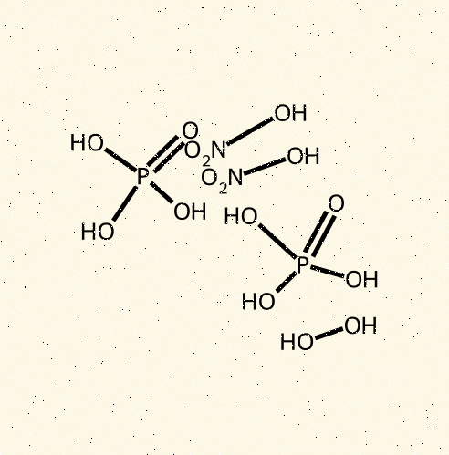 O=P(O)(O)O.O=P(O)(O)O.O=[N+]([O-])O.O=[N+]([O-])O.OO